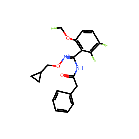 O=C(Cc1ccccc1)N/C(=N\OCC1CC1)c1c(OCF)ccc(F)c1F